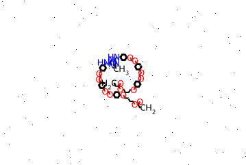 C=CC(=O)OCCCCOc1ccc(OCOc2ccc(OCOc3ccc(Nc4nc(C)nc(Nc5ccc(OCOc6ccc(OCOc7ccc(OCCCCOC(=O)C=C)cc7)cc6)cc5)n4)cc3)cc2)cc1